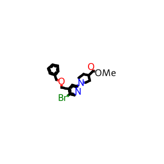 COC(=O)C1CCN(c2cc(COCc3ccccc3)c(Br)cn2)CC1